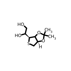 CC1(C)OC2[C@H](C(O)CO)SC[C@@H]2O1